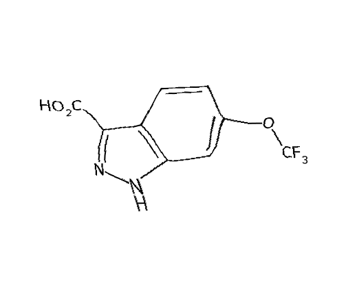 O=C(O)c1n[nH]c2cc(OC(F)(F)F)ccc12